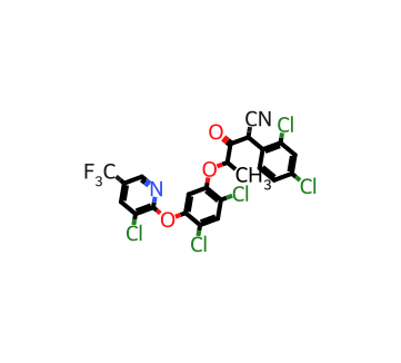 CC(Oc1cc(Oc2ncc(C(F)(F)F)cc2Cl)c(Cl)cc1Cl)C(=O)C(C#N)c1ccc(Cl)cc1Cl